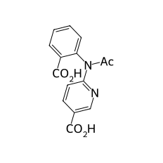 CC(=O)N(c1ccc(C(=O)O)cn1)c1ccccc1C(=O)O